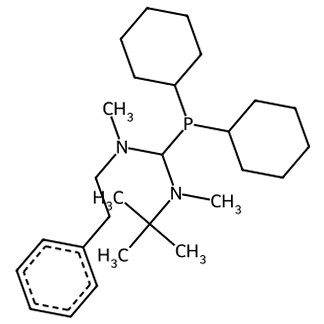 CN(CCc1ccccc1)C(N(C)C(C)(C)C)P(C1CCCCC1)C1CCCCC1